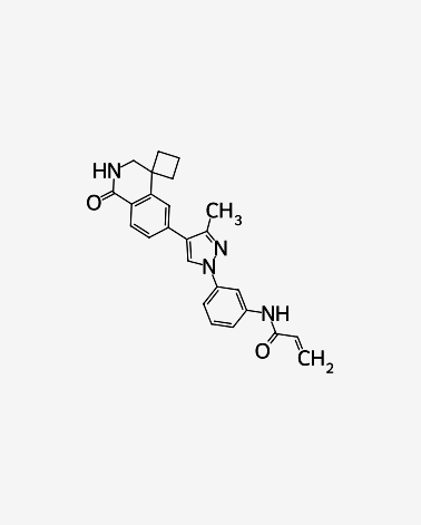 C=CC(=O)Nc1cccc(-n2cc(-c3ccc4c(c3)C3(CCC3)CNC4=O)c(C)n2)c1